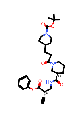 C#C[C@@H](CNC(=O)[C@@H]1CCCN(C(=O)CCC2CCN(C(=O)OC(C)(C)C)CC2)C1)C(=O)Oc1ccccc1